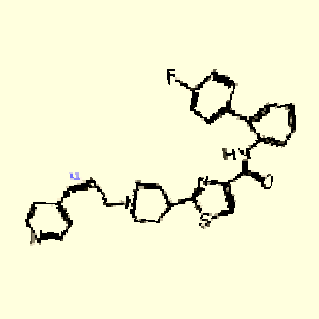 O=C(Nc1ccccc1-c1ccc(F)cc1)c1csc(C2CCN(C/C=C\c3ccncc3)CC2)n1